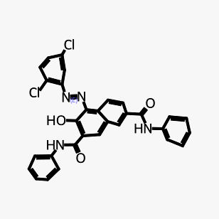 O=C(Nc1ccccc1)c1ccc2c(/N=N/c3cc(Cl)ccc3Cl)c(O)c(C(=O)Nc3ccccc3)cc2c1